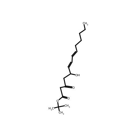 CCCCCC=CC=CC(O)CC(=O)CC(=O)OC(C)(C)C